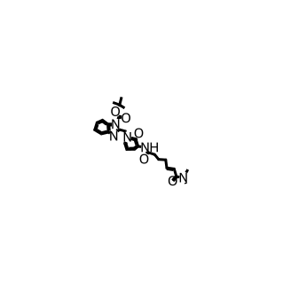 CN(C)C(=O)/C=C/CCCC(=O)Nc1cccn(Cc2nc3ccccc3n2C(=O)OC(C)(C)C)c1=O